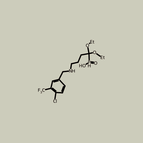 CCOC(CCCNCc1ccc(Cl)c(C(F)(F)F)c1)(OCC)[PH](=O)O